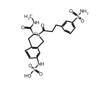 CNC(=O)[C@@H]1Cc2ccc(NS(=O)(=O)O)cc2CN1C(=O)CCc1cccc(S(N)(=O)=O)c1